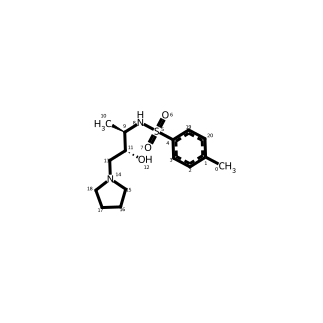 Cc1ccc(S(=O)(=O)N[C@H](C)[C@H](O)CN2CCCC2)cc1